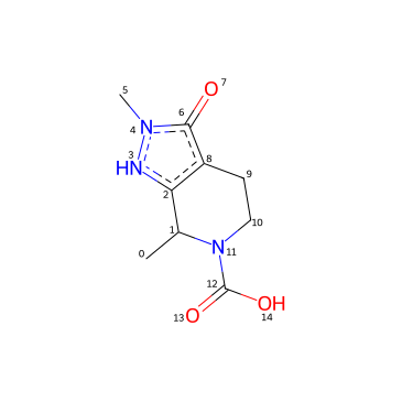 CC1c2[nH]n(C)c(=O)c2CCN1C(=O)O